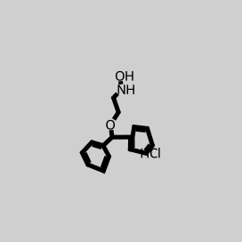 Cl.ONCCOC(c1ccccc1)c1ccccc1